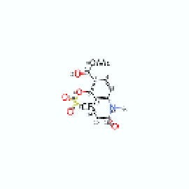 COC(=O)c1ccc2c(c1OS(=O)(=O)C(F)(F)F)CCC(=O)N2C